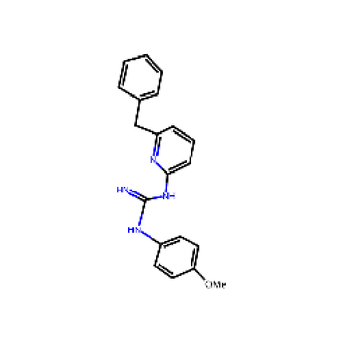 COc1ccc(NC(=N)Nc2cccc(Cc3ccccc3)n2)cc1